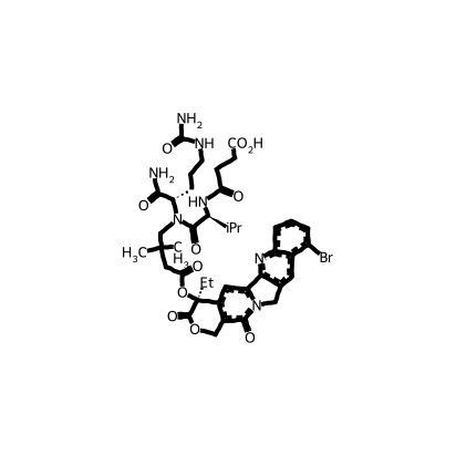 CC[C@@]1(OC(=O)CC(C)(C)CN(C(=O)[C@@H](NC(=O)CCC(=O)O)C(C)C)[C@@H](CCCNC(N)=O)C(N)=O)C(=O)OCc2c1cc1n(c2=O)Cc2cc3c(Br)cccc3nc2-1